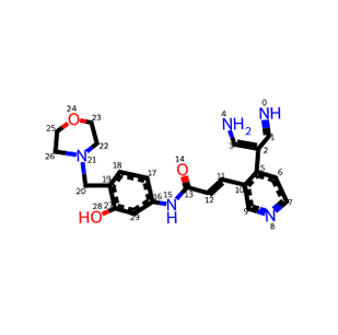 N=C/C(=C\N)c1ccncc1/C=C/C(=O)Nc1ccc(CN2CCOCC2)c(O)c1